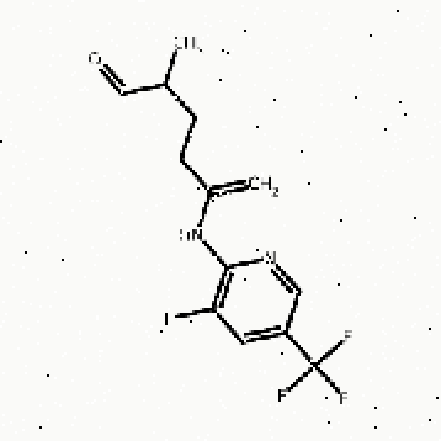 C=C(CCC(C)C=O)Nc1ncc(C(F)(F)F)cc1F